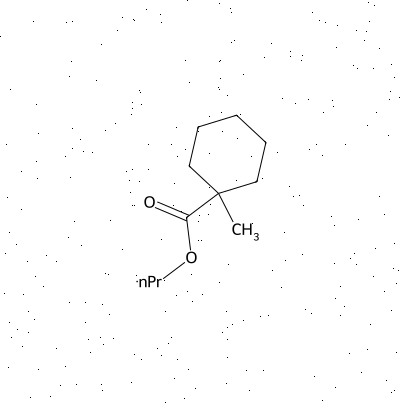 CC[CH]OC(=O)C1(C)CCCCC1